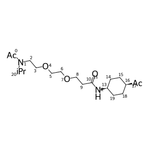 CC(=O)N(CCOCCOCCC(=O)N[C@H]1CC[C@@H](C(C)=O)CC1)C(C)C